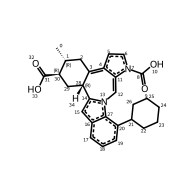 C[C@@H]1CC2=c3ccn(C(=O)O)c3=Cn3c(cc4cccc(C5CCCCC5)c43)[C@@H]2C[C@H]1C(=O)O